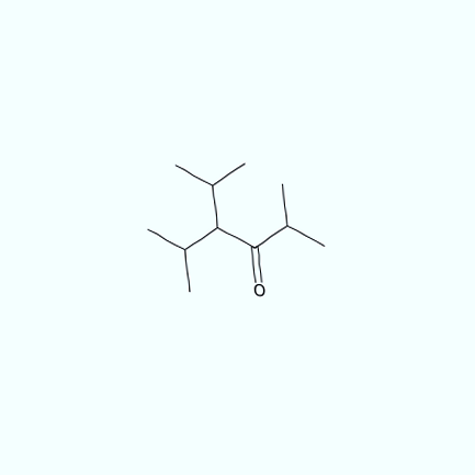 CC(C)C(=O)C(C(C)C)C(C)C